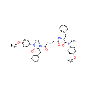 COc1ccc(N(C)C(=O)[C@H](Cc2ccccc2)NC(=O)CCCC(=O)N[C@@H](Cc2ccccc2)C(=O)N(C)c2ccc(OC)cc2)cc1